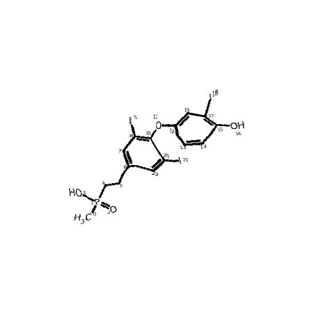 CP(=O)(O)CCc1cc(I)c(Oc2ccc(O)c(I)c2)c(I)c1